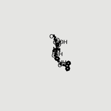 CC(=O)CCC(=O)O[C@@H]1C[C@H](n2cnc3c(NC(=O)c4ccc(CNC(=O)OCC5c6ccccc6-c6ccccc65)cc4)ncnc32)O[C@@H]1CO